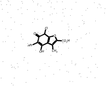 CCCC1=C(O)c2c(oc(C(=O)O)c2C)C(Cl)C1=O